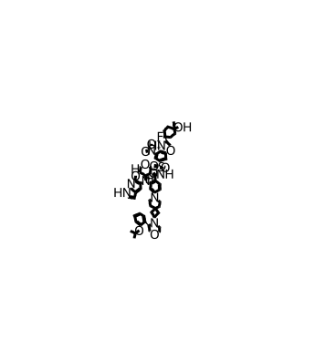 CC(C)Oc1ccccc1[C@@H]1COCCN1C1CC2(CCN(c3ccc(C(=O)NS(=O)(=O)c4cc5c(c([N+](=O)[O-])c4)N[C@@H](C4(F)CCC(C)(O)CC4)CO5)c(N4c5cc6cc[nH]c6nc5O[C@H]5COCC[C@@H]54)c3)CC2)C1